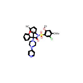 CCOc1ccccc1C1(N2CCN(c3ccncc3)CC2)C(=O)N(S(=O)(=O)c2cc(Cl)c(OC)cc2OCC)c2ccc(C#N)cc21